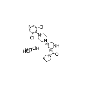 Cl.Cl.Cl.O=C([C@@H]1C[C@H](N2CCN(c3c(Cl)cncc3Cl)CC2)CN1)N1CCSC1